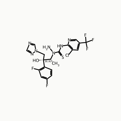 C[C@@H](N(N)C(=S)Nc1ncc(C(F)(F)F)cc1Cl)[C@](O)(Cn1cncn1)c1ccc(F)cc1F